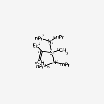 C=C(CC)[Si](C)(N(CCC)CCC)N(CCC)CCC